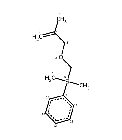 C=C(C)COC[Si](C)(C)c1ccccc1